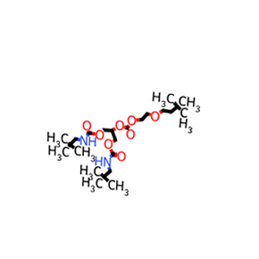 CC(C)(C)CCOCCOC(=O)OC(COC(=O)NCC(C)(C)C)COC(=O)NCC(C)(C)C